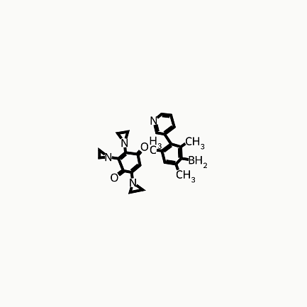 Bc1c(C)cc(C)c(-c2cccnc2)c1C.O=C1C=C(N2CC2)C(=O)C(N2CC2)=C1N1CC1